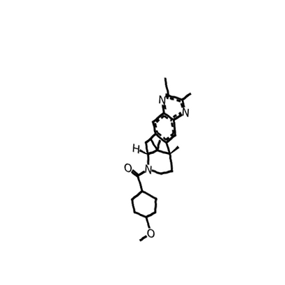 COC1CCC(C(=O)N2CC[C@@]3(C)c4cc5nc(C)c(C)nc5cc4C[C@@H]2C3(C)C)CC1